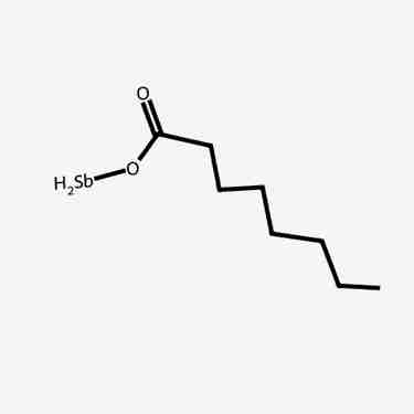 CCCCCCCC(=O)[O][SbH2]